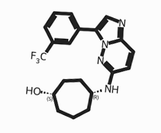 O[C@H]1CCC[C@@H](Nc2ccc3ncc(-c4cccc(C(F)(F)F)c4)n3n2)CC1